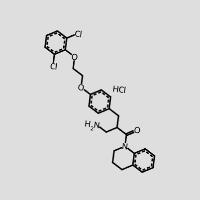 Cl.NCC(Cc1ccc(OCCOc2c(Cl)cccc2Cl)cc1)C(=O)N1CCCc2ccccc21